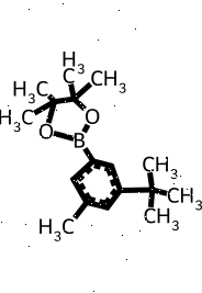 Cc1cc(B2OC(C)(C)C(C)(C)O2)cc(C(C)(C)C)c1